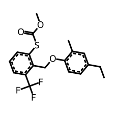 CCc1ccc(OCc2c(SC(=O)OC)cccc2C(F)(F)F)c(C)c1